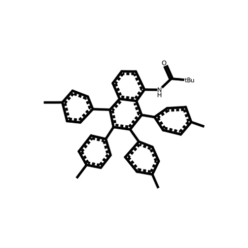 Cc1ccc(-c2c(-c3ccc(C)cc3)c(-c3ccc(C)cc3)c3c(NC(=O)C(C)(C)C)cccc3c2-c2ccc(C)cc2)cc1